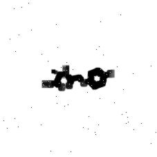 C[C@H](NC(=O)COc1ccc(Cl)cc1)C(=O)O